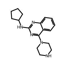 c1ccc2c(N3CCNCC3)nc(NC3CCCC3)nc2c1